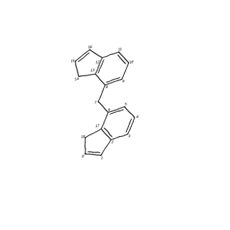 C1=Cc2cccc(Cc3cccc4c3CC=C4)c2C1